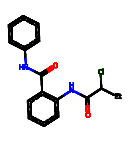 CCC(Cl)C(=O)Nc1ccccc1C(=O)Nc1ccccc1